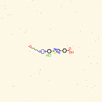 COCCCCCN1CCN(c2ccc(-c3nn4cc(-c5ccc(C(=O)O)cc5)nc4s3)cc2)CC1.Cl